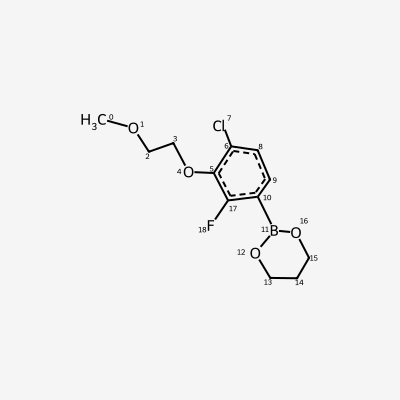 COCCOc1c(Cl)ccc(B2OCCCO2)c1F